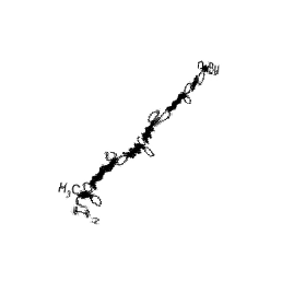 C=C(C)C(=O)OCCCCCC(=O)OCCCCCC(=O)OCCCCCC(=O)OCCCCCC(=O)OCCOC(=O)C(C)CC